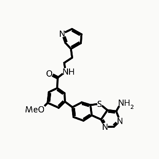 COc1cc(C(=O)NCCc2cccnc2)cc(-c2ccc3c(c2)sc2c(N)ncnc23)c1